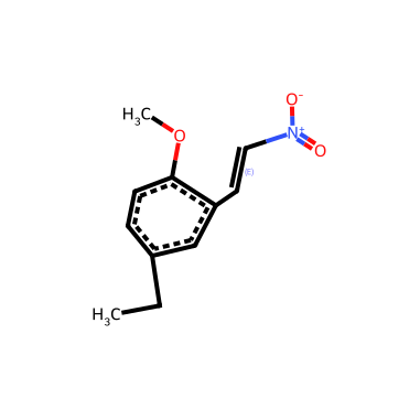 CCc1ccc(OC)c(/C=C/[N+](=O)[O-])c1